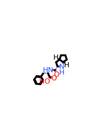 O=C(O)[C@H](Cc1ccccc1)NC(=O)[C@@H]1C[C@@H]2CCC[C@@H]2N1